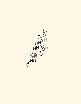 CC(C)(C)OC(=O)NNC(=O)NC(C(=O)O)c1csc(NC=O)n1